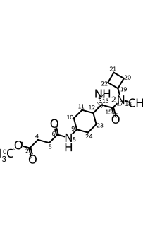 COC(=O)CCC(=O)NC1CCC([C@H](N)C(=O)N(C)C2CCC2)CC1